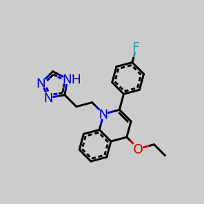 CCOC1C=C(c2ccc(F)cc2)N(CCc2nnc[nH]2)c2ccccc21